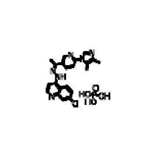 CC(=NNc1ccnc2cc(Cl)ccc12)c1ccc(-n2cnc(C)c2C)nc1.O=P(O)(O)O